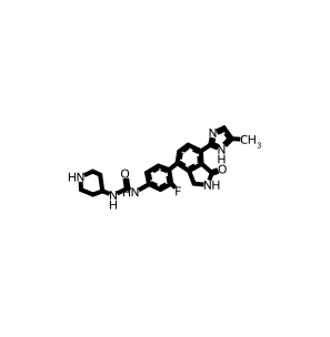 Cc1cnc(-c2ccc(-c3ccc(NC(=O)NC4CCNCC4)cc3F)c3c2C(=O)NC3)[nH]1